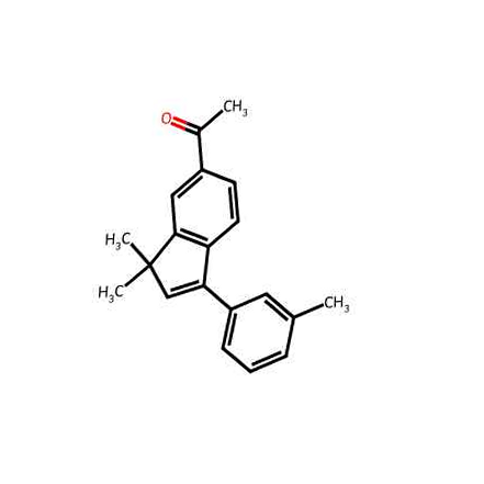 CC(=O)c1ccc2c(c1)C(C)(C)C=C2c1cccc(C)c1